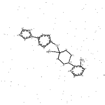 CCCC1(Oc2ccc(-n3cncn3)cc2)CCN(c2ncccc2[N+](=O)[O-])CC1